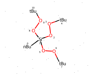 CCCC[Si](OOC(C)(C)C)(OOC(C)(C)C)OOC(C)(C)C